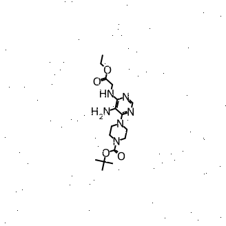 CCOC(=O)CNc1ncnc(N2CCN(C(=O)OC(C)(C)C)CC2)c1N